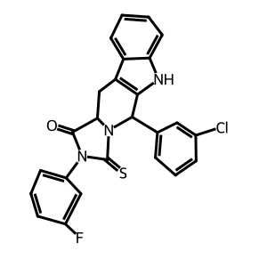 O=C1C2Cc3c([nH]c4ccccc34)C(c3cccc(Cl)c3)N2C(=S)N1c1cccc(F)c1